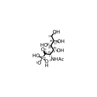 CC(=O)N[C@H](C(=O)P(=O)(O)O)[C@@H](O)[C@H](O)[C@H](O)CO